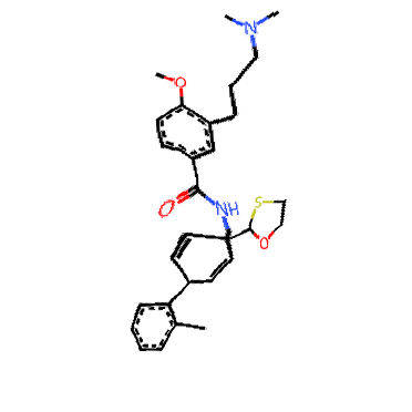 COc1ccc(C(=O)NC2(C3OCCS3)C=CC(c3ccccc3C)C=C2)cc1CCCN(C)C